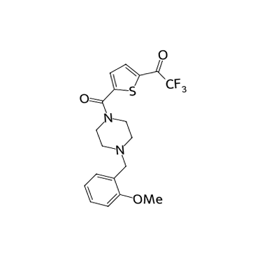 COc1ccccc1CN1CCN(C(=O)c2ccc(C(=O)C(F)(F)F)s2)CC1